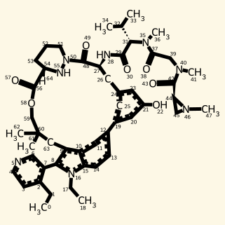 CCc1ccncc1-c1c2c3cc(ccc3n1CC)-c1cc(O)cc(c1)C[C@H](NC(=O)[C@H](C(C)C)N(C)C(=O)CN(C)C(=O)[C@@H]1CN1C)C(=O)N1CCC[C@H](N1)C(=O)OCC(C)(C)C2